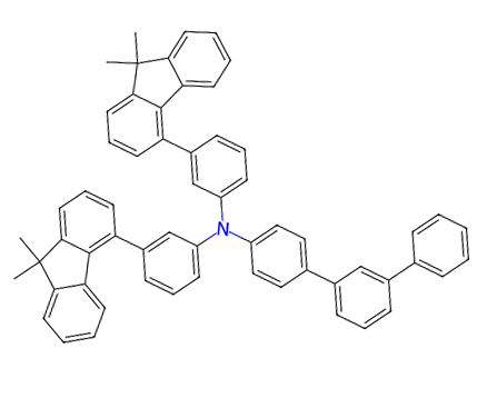 CC1(C)c2ccccc2-c2c(-c3cccc(N(c4ccc(-c5cccc(-c6ccccc6)c5)cc4)c4cccc(-c5cccc6c5-c5ccccc5C6(C)C)c4)c3)cccc21